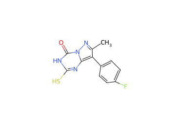 Cc1nn2c(=O)[nH]c(S)nc2c1-c1ccc(F)cc1